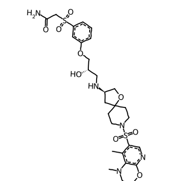 Cc1c(S(=O)(=O)N2CCC3(CC2)C[C@@H](NC[C@H](O)COc2cccc(S(=O)(=O)CC(N)=O)c2)CO3)cnc2c1N(C)CCO2